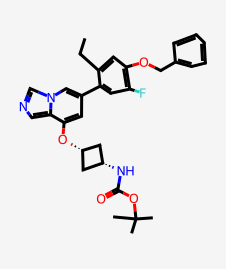 CCc1cc(OCc2ccccc2)c(F)cc1-c1cc(O[C@H]2C[C@@H](NC(=O)OC(C)(C)C)C2)c2cncn2c1